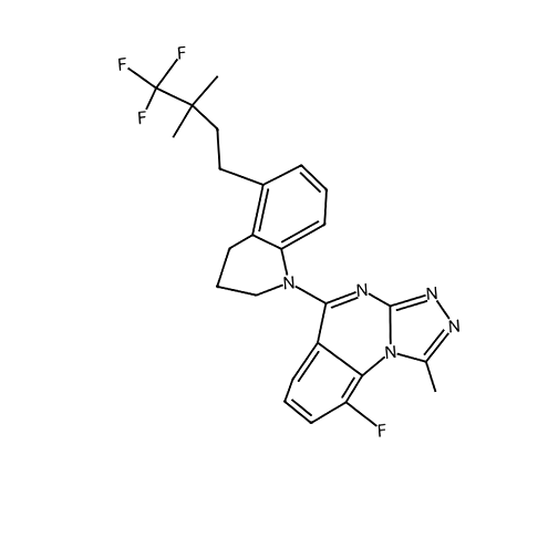 Cc1nnc2nc(N3CCCc4c(CCC(C)(C)C(F)(F)F)cccc43)c3cccc(F)c3n12